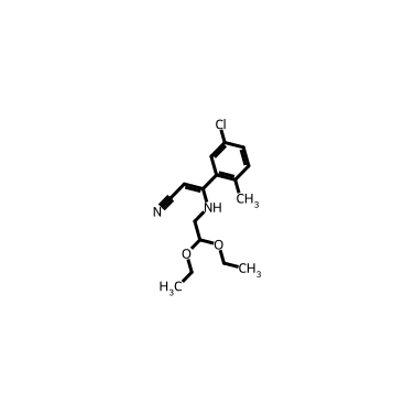 CCOC(CN/C(=C\C#N)c1cc(Cl)ccc1C)OCC